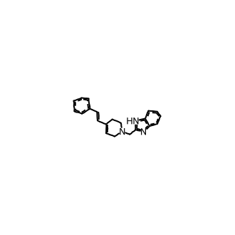 C(=Cc1ccccc1)C1=CCN(Cc2nc3ccccc3[nH]2)CC1